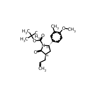 C=CC[C@@H]1C[C@@H](c2ccc(OC)c(C)c2)N(C(=O)OC(C)(C)C)C1=O